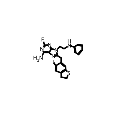 Nc1nc(F)nc2c1nc(Cc1cc3c(cc1I)CCS3)n2CCNc1ccccc1